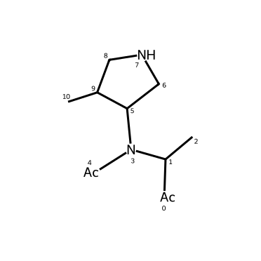 CC(=O)C(C)N(C(C)=O)C1CNCC1C